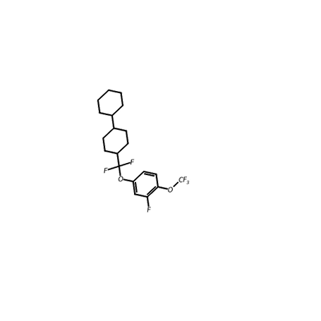 Fc1cc(OC(F)(F)C2CCC(C3CCCCC3)CC2)ccc1OC(F)(F)F